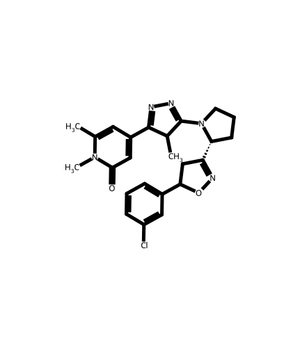 Cc1cc(C2=NN=C(N3CCC[C@@H]3C3=NOC(c4cccc(Cl)c4)C3)C2C)cc(=O)n1C